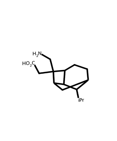 CC(C)C1C2CCC3C1C(C2)C3(CN)CC(=O)O